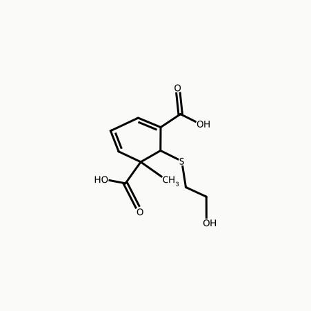 CC1(C(=O)O)C=CC=C(C(=O)O)C1SCCO